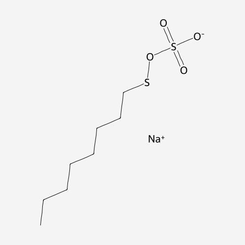 CCCCCCCCSOS(=O)(=O)[O-].[Na+]